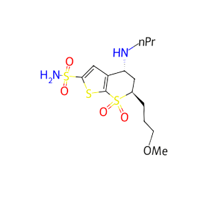 CCCN[C@@H]1C[C@@H](CCCOC)S(=O)(=O)c2sc(S(N)(=O)=O)cc21